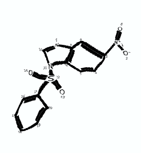 O=[N+]([O-])c1ccc2c(c1)ncn2S(=O)(=O)c1ccccc1